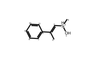 CC(=C[SiH](C)O)c1ccccc1